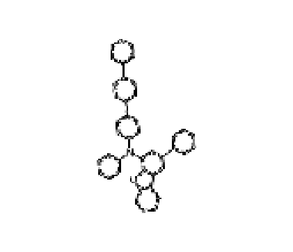 c1ccc(-c2ccc(-c3ccc(N(c4ccccc4)c4cc(-c5ccccc5)cc5c4oc4ccccc45)cc3)cc2)cc1